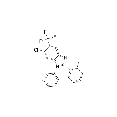 Cc1ccccc1-c1nc2cc(C(F)(F)F)c(Cl)cc2n1-c1c[c]ccc1